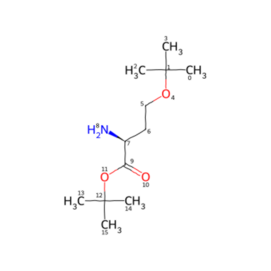 CC(C)(C)OCC[C@H](N)C(=O)OC(C)(C)C